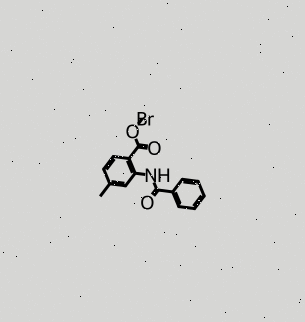 Cc1ccc(C(=O)OBr)c(NC(=O)c2ccccc2)c1